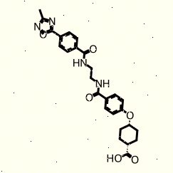 Cc1noc(-c2ccc(C(=O)NCCNC(=O)c3ccc(O[C@H]4CC[C@@H](C(=O)O)CC4)cc3)cc2)n1